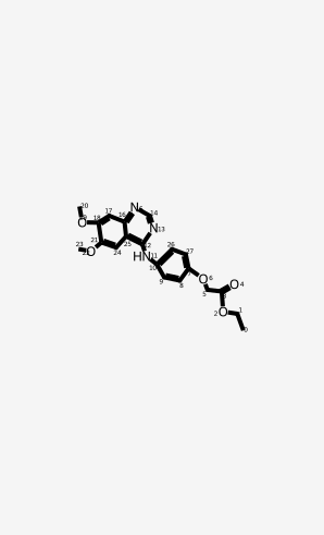 CCOC(=O)COc1ccc(Nc2ncnc3cc(OC)c(OC)cc23)cc1